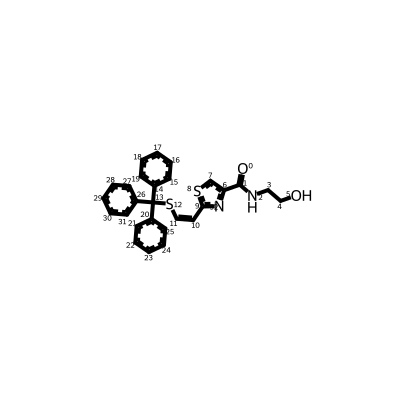 O=C(NCCO)c1csc(/C=C\SC(c2ccccc2)(c2ccccc2)c2ccccc2)n1